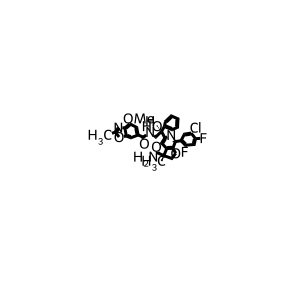 COc1cc(C(=O)NC[C@@](O)(c2ccccc2)c2cc3c(c(-c4cc(Cl)c(F)cc4F)n2)OC[C@]3(C)C(N)=O)cc2oc(C)nc12